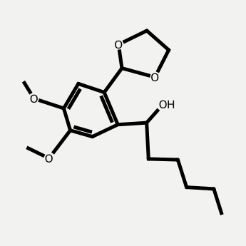 CCCCCC(O)c1cc(OC)c(OC)cc1C1OCCO1